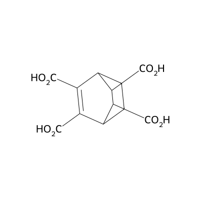 O=C(O)C1=C(C(=O)O)C2CCC1C(C(=O)O)C2C(=O)O